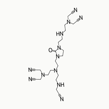 N#CCNCCN(CCN(CC#N)CC#N)CCN1CCN(CCNCCN(CC#N)CC#N)C1=O